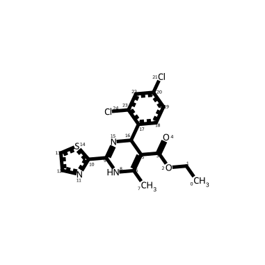 CCOC(=O)C1=C(C)NC(c2nccs2)=NC1c1ccc(Cl)cc1Cl